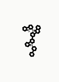 c1ccc(-c2cccc(-n3c4ccccc4c4cc(-c5ccc6c(c5)c5ccc7ccccc7c5n6-c5cccc6c5sc5ccccc56)ccc43)c2)cc1